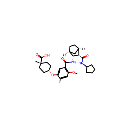 COc1cc(F)c(O[C@H]2CC[C@@](C)(C(=O)O)CC2)cc1C(=O)N[C@@H]1[C@H]2CC[C@H](C2)[C@@H]1C(=O)NC1CCCC1